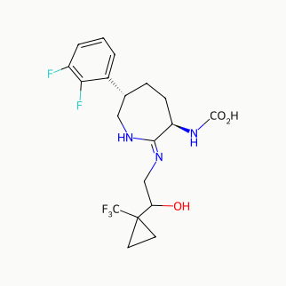 O=C(O)N[C@@H]1CC[C@@H](c2cccc(F)c2F)CN/C1=N\CC(O)C1(C(F)(F)F)CC1